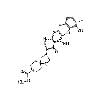 Cc1ccc(F)c(Oc2ccc3ncn(C4COC5(CCN(C(=O)OC(C)(C)C)CC5)C4)c(=O)c3c2N)c1C#N